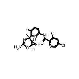 C[C@]1(c2nc(NC(=O)c3ncc(Cl)cc3Cl)ccc2F)N=C(N)O[C@@H]2N[C@@H]21